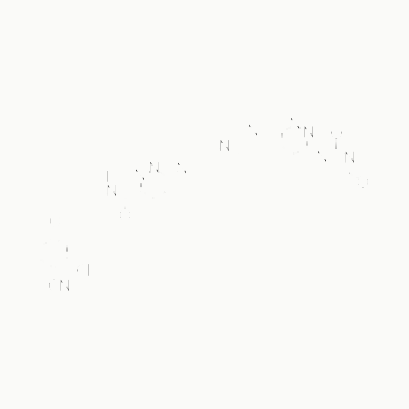 N#Cc1ccc(OC2CCC(NC(=O)c3ccc(N4CCC(N5CCN(Cc6ccc(N7CCC(=O)NC7=O)nn6)CC5)CC4)nn3)CC2)cc1Cl